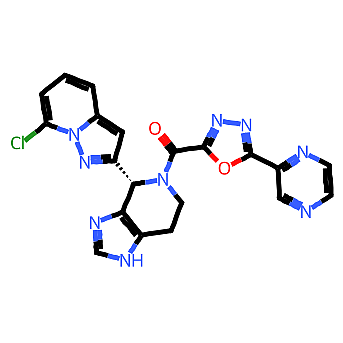 O=C(c1nnc(-c2cnccn2)o1)N1CCc2[nH]cnc2[C@@H]1c1cc2cccc(Cl)n2n1